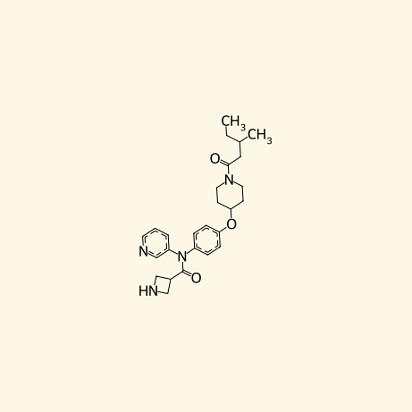 CCC(C)CC(=O)N1CCC(Oc2ccc(N(C(=O)C3CNC3)c3cccnc3)cc2)CC1